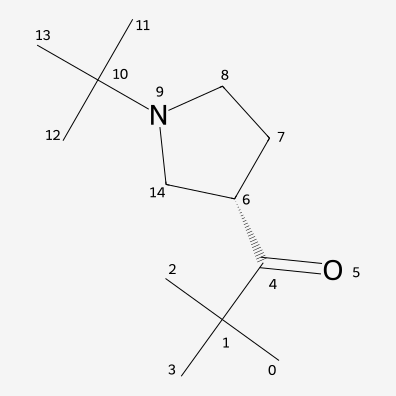 CC(C)(C)C(=O)[C@H]1CCN(C(C)(C)C)C1